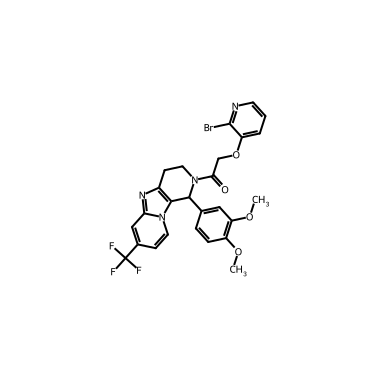 COc1ccc(C2c3c(nc4cc(C(F)(F)F)ccn34)CCN2C(=O)COc2cccnc2Br)cc1OC